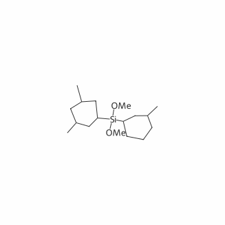 CO[Si](OC)(C1CCCC(C)C1)C1CC(C)CC(C)C1